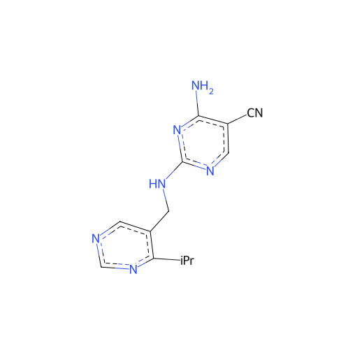 CC(C)c1ncncc1CNc1ncc(C#N)c(N)n1